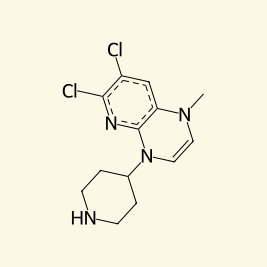 CN1C=CN(C2CCNCC2)c2nc(Cl)c(Cl)cc21